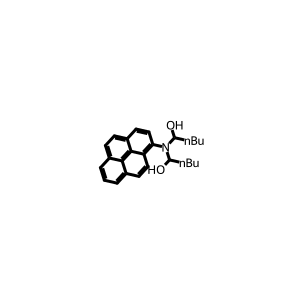 CCCCC(O)N(c1ccc2ccc3cccc4ccc1c2c34)C(O)CCCC